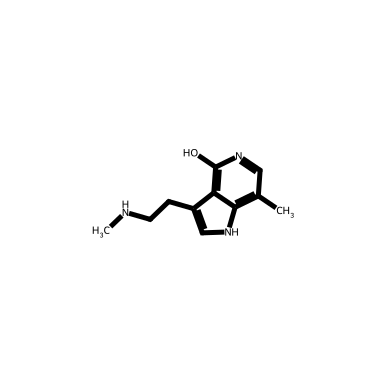 CNCCc1c[nH]c2c(C)cnc(O)c12